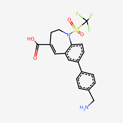 NCc1ccc(-c2ccc3c(c2)C=C(C(=O)O)CCN3S(=O)(=O)C(F)(F)F)cc1